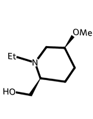 CCN1C[C@@H](OC)CC[C@H]1CO